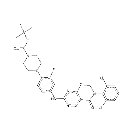 CC(C)(C)OC(=O)N1CCN(c2ccc(Nc3ncc4c(n3)OCN(c3c(Cl)cccc3Cl)C4=O)cc2F)CC1